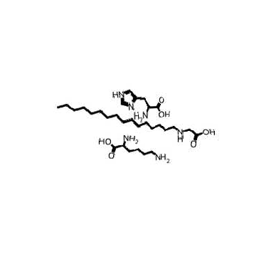 CCCCCCCCCCCCCCCCNCC(=O)O.NC(Cc1c[nH]cn1)C(=O)O.NCCCCC(N)C(=O)O